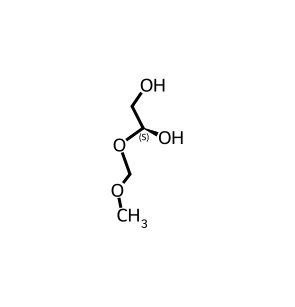 COCO[C@H](O)CO